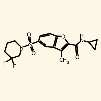 Cc1c(C(=O)NC2CC2)oc2ccc(S(=O)(=O)N3CCCC(F)(F)C3)cc12